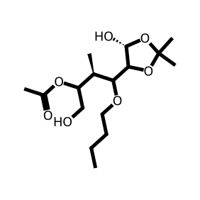 CCCCOC(C1OC(C)(C)O[C@H]1O)[C@H](C)C(CO)OC(C)=O